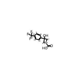 O=C(O)N1CC(O)(c2ccc(C(F)(F)F)cc2)C1